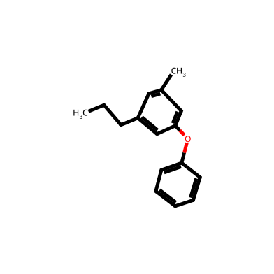 CCCc1cc(C)cc(Oc2ccccc2)c1